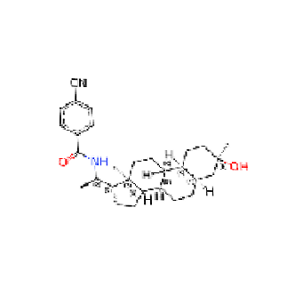 C[C@@H](NC(=O)c1ccc(C#N)cc1)[C@H]1CC[C@H]2[C@@H]3CC[C@@H]4C[C@](C)(O)CC[C@@H]4[C@H]3CC[C@]12C